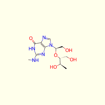 CNc1nc2c(ncn2[C@@H](CO)O[C@H](CO)[C@@H](C)O)c(=O)[nH]1